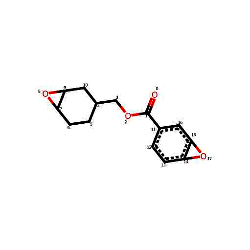 O=C(OCC1CCC2OC2C1)c1ccc2c(c1)O2